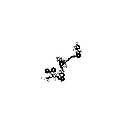 NC(=O)CC[C@H](NC(=O)[C@@H]1Cc2cccc3c2N1C(=O)[C@@H](NC(=O)c1cc2cc(C(F)(F)P(=O)(O)O)cc(C(=O)NCCCCC#Cc4cccc5c4CN(C4CCC(=O)NC4=O)C5=O)c2[nH]1)CC3)C(=O)NC(c1ccccc1)c1ccccc1